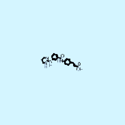 O=C(O)C=Cc1ccc(NC(=O)c2cccc(NC3=NCCCN3)c2)cc1